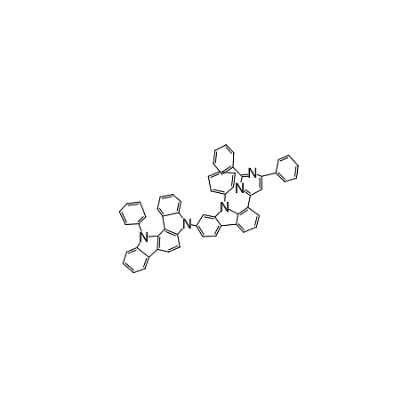 c1ccc(-c2cc(-c3cccc4c5ccc(-n6c7ccccc7c7c6ccc6c8ccccc8n(-c8ccccc8)c67)cc5n(-c5ccccc5)c34)nc(-c3ccccc3)n2)cc1